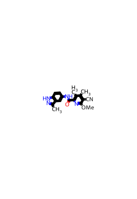 COc1nc(C(=O)Nc2ccc3[nH]nc(C)c3c2)c(C)c(C)c1C#N